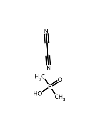 CP(C)(=O)O.N#CC#N